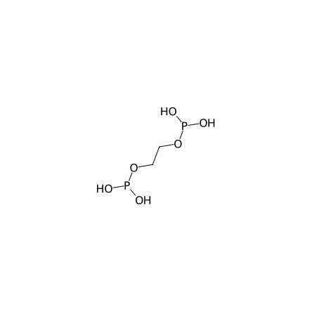 OP(O)OCCOP(O)O